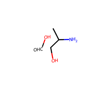 CC(N)CO.O=CO